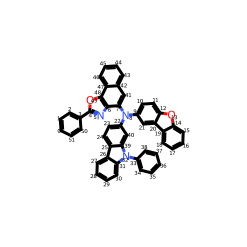 c1ccc(-c2nc3c(N(c4ccc5oc6ccccc6c5c4)c4ccc5c6ccccc6n(-c6ccccc6)c5c4)cc4ccccc4c3o2)cc1